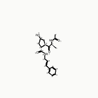 CC(=O)N[C@@H](C)C(=O)N1C[C@H](O)C[C@H]1C(=O)NC/C=C/c1ccccc1